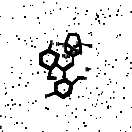 COc1ccc(F)cc1C(=C[C@H]1C[C@H]2CC[C@@H](C1)[N+]2(C)C)c1cc(F)ccc1OC.[Br-]